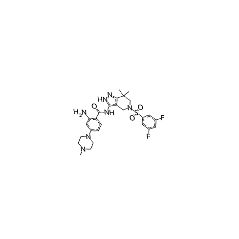 CN1CCN(c2ccc(C(=O)Nc3[nH]nc4c3CN(S(=O)(=O)c3cc(F)cc(F)c3)CC4(C)C)c(N)c2)CC1